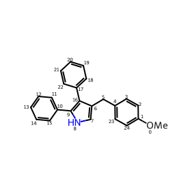 COc1ccc(Cc2c[nH]c(-c3ccccc3)c2-c2ccccc2)cc1